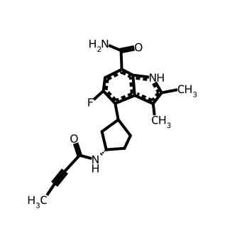 CC#CC(=O)N[C@H]1CCC(c2c(F)cc(C(N)=O)c3[nH]c(C)c(C)c23)C1